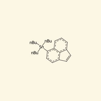 CCC[CH2][Sn]([CH2]CCC)([CH2]CCC)[c]1ccc2c3c(cccc13)C=C2